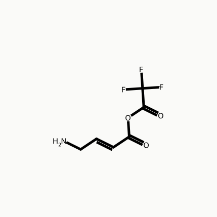 NCC=CC(=O)OC(=O)C(F)(F)F